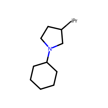 CC(C)C1CCN(C2CCCCC2)C1